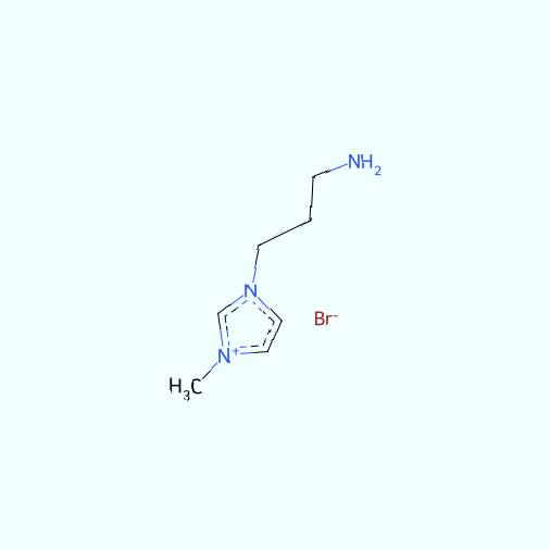 C[n+]1ccn(CCCN)c1.[Br-]